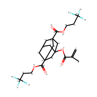 C=C(C)C(=O)OC12CC3CC(C(=O)OCCC(F)(F)F)(C1)CC(C(=O)OCCC(F)(F)F)(C3)C2